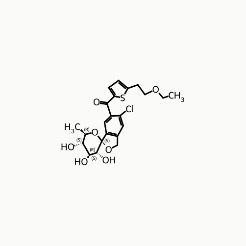 CCOCCc1ccc(C(=O)c2cc3c(cc2Cl)CO[C@]32O[C@H](C)[C@@H](O)[C@H](O)[C@H]2O)s1